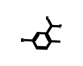 Cc1[c]cc(Br)cc1C(F)F